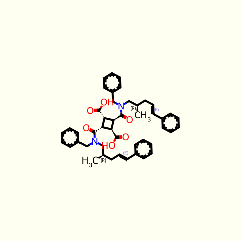 C[C@H](C/C=C/c1ccccc1)CN(Cc1ccccc1)C(=O)[C@H]1[C@H](C(=O)O)[C@H](C(=O)N(Cc2ccccc2)C[C@H](C)C/C=C/c2ccccc2)[C@H]1C(=O)O